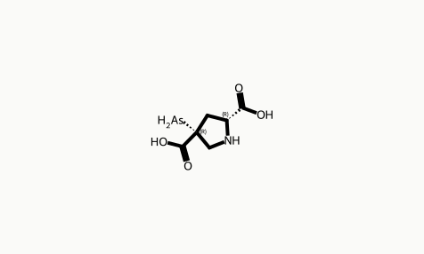 O=C(O)[C@H]1C[C@]([AsH2])(C(=O)O)CN1